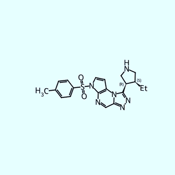 CC[C@@H]1CNC[C@@H]1c1nnc2cnc3c(ccn3S(=O)(=O)c3ccc(C)cc3)n12